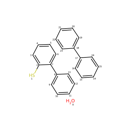 O.Sc1ccccc1-c1ccccc1.c1ccc(-c2ccccc2)cc1